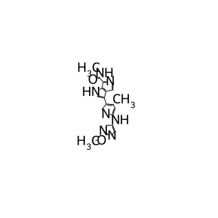 CNC(=O)c1nccc2c(-c3cnc(Nc4cnc(OC)nc4)cc3C)c[nH]c12